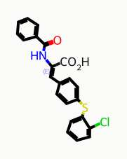 O=C(O)/C(=C\c1ccc(Sc2ccccc2Cl)cc1)NC(=O)c1ccccc1